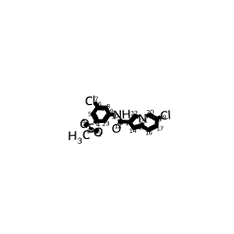 CS(=O)(=O)c1cc(Cl)cc(NC(=O)c2cc3ccc(Cl)cn3c2)c1